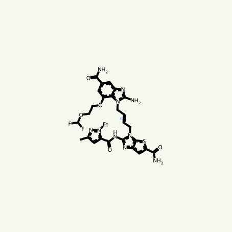 CCn1nc(C)cc1C(=O)Nc1nc2cc(C(N)=O)sc2n1C/C=C/Cn1c(N)nc2cc(C(N)=O)cc(OCCOC(F)F)c21